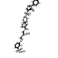 CNS(=O)(=O)c1cccc(OC[C@@H](O)CNC2COC3(CCN(S(=O)(=O)c4cnn(-c5ccccc5)c4C)CC3)C2)c1